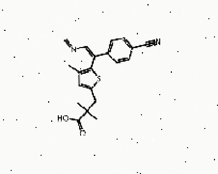 C=N/C=C(/c1ccc(C#N)cc1)c1sc(CC(C)(C)C(=O)O)cc1C